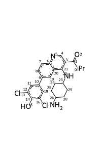 CC(C)C(=O)c1cnc2ccc(-c3cc(Cl)c(O)c(Cl)c3)cc2c1NC1CCC(N)CC1